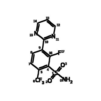 NS(=O)(=O)c1c(C(F)(F)F)ccc(-c2ncccn2)c1F